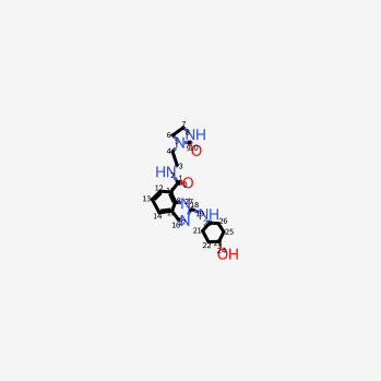 O=C(NCCN1CCNC1=O)c1cccc2cnc(N[C@H]3CC[C@H](O)CC3)nc12